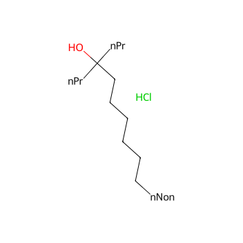 CCCCCCCCCCCCCCCC(O)(CCC)CCC.Cl